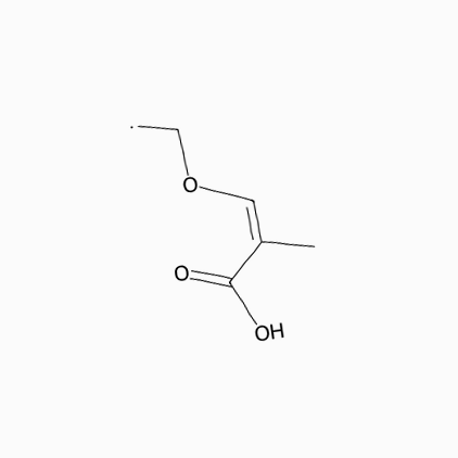 [CH2]COC=C(C)C(=O)O